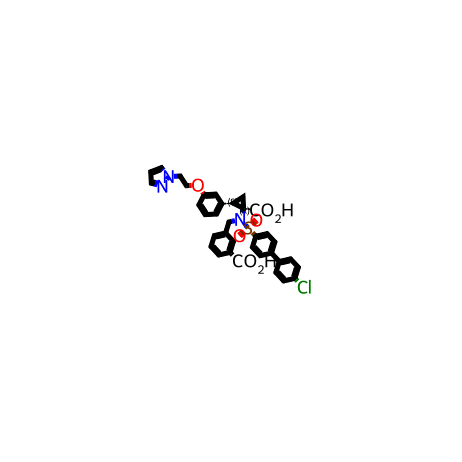 O=C(O)c1cccc(CN([C@]2(C(=O)O)C[C@H]2c2cccc(OCCn3cccn3)c2)S(=O)(=O)c2ccc(-c3ccc(Cl)cc3)cc2)c1